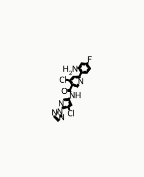 Nc1cc(F)ccc1-c1cc(Cl)c(C(=O)Nc2cnc(-n3nccn3)c(Cl)c2)cn1